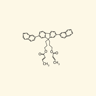 CC=CC(=O)OCCCC1(CCCOC(=O)C=CC)c2cc(-c3ccc4ccccc4c3)ccc2-c2ccc(-c3ccc4ccccc4c3)cc21